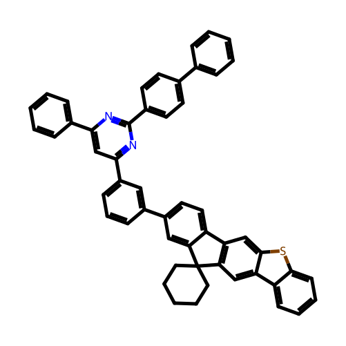 c1ccc(-c2ccc(-c3nc(-c4ccccc4)cc(-c4cccc(-c5ccc6c(c5)C5(CCCCC5)c5cc7c(cc5-6)sc5ccccc57)c4)n3)cc2)cc1